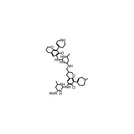 CNC1CC(C)NC(Nc2cc3c(c(C4=CCN(C)CCC4)c2Cl)OCC(CNC2CC(C)NC(Nc4cc5c(c(C6=CCNCCC6)c4Cl)OCCC5)N2)C3)N1